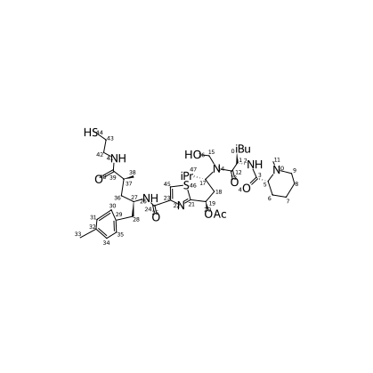 CC[C@H](C)[C@H](NC(=O)[C@H]1CCCCN1C)C(=O)N(CO)[C@H](C[C@@H](OC(C)=O)c1nc(C(=O)N[C@@H](Cc2ccc(C)cc2)C[C@H](C)C(=O)NCCS)cs1)C(C)C